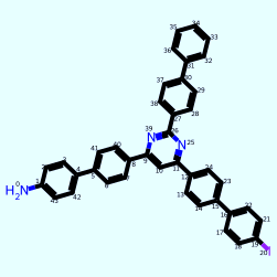 Nc1ccc(-c2ccc(-c3cc(-c4ccc(-c5ccc(I)cc5)cc4)nc(-c4ccc(-c5ccccc5)cc4)n3)cc2)cc1